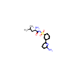 CC(C)C[C@H](N)C(=O)NS(=O)(=O)c1cccc(-c2cccc(N)n2)c1